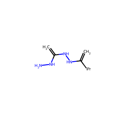 C=C(NN)NNC(=C)C(C)C